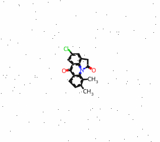 Cc1ccc2c(=O)c3cc(Cl)cc4c3n(c2c1C)C(=O)C4